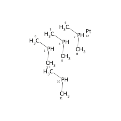 CPC.CPC.CPC.CPC.[Pt]